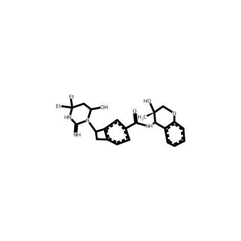 CCC1(CC)CC(O)N(C2Cc3ccc(C(=O)N[C@@H]4c5ccccc5OC[C@@]4(C)O)cc32)C(=N)N1